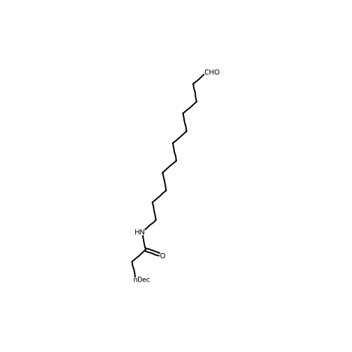 CCCCCCCCCCCC(=O)NCCCCCCCCCCC=O